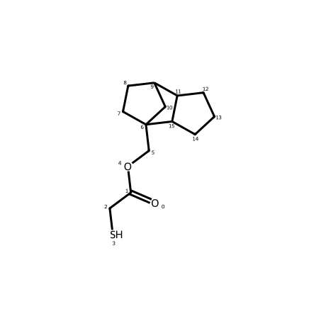 O=C(CS)OCC12CCC(C1)C1CCCC12